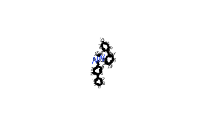 c1ccc(-c2ccc(-c3nccn3-c3ccccc3-c3ccccc3)cc2)cc1